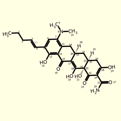 CCC/C=C/c1cc(N(C)C)c2c(c1O)C(=O)C1=C(O)[C@]3(O)C(=O)C(C(N)=O)=C(O)C[C@@H]3C[C@@H]1C2